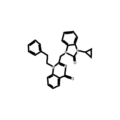 O=c1nc(Cn2c(=O)n(C3CC3)c3ccccc32)n(CCc2ccccc2)c2ccccc12